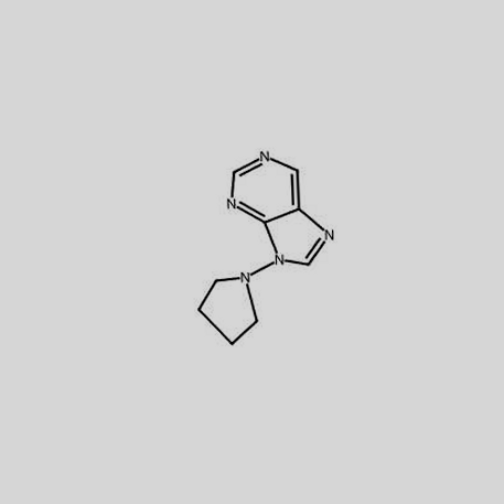 c1ncc2ncn(N3CCCC3)c2n1